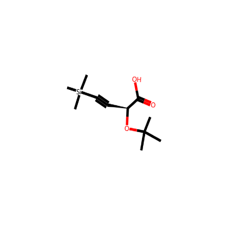 CC(C)(C)O[C@@H](C#C[Si](C)(C)C)C(=O)O